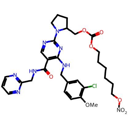 COc1ccc(CNc2nc(N3CCCC3COC(=O)OCCCCCCO[N+](=O)[O-])ncc2C(=O)NCc2ncccn2)cc1Cl